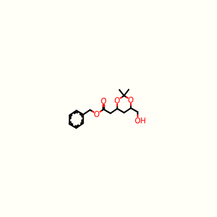 CC1(C)OC(CO)CC(CC(=O)OCc2ccccc2)O1